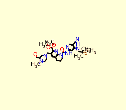 COC(OC)c1nc2c(cc1CN1CCN(C)C(C=O)C1)CCCN2C(=O)Nc1cc(NCC(C)(C)SC)c(C#N)cn1